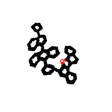 c1ccc(-c2ccc(-c3c4ccccc4c(-c4cccc(-c5cc6ccccc6c6c5oc5c7ccccc7ccc56)c4)c4ccccc34)c3ccccc23)cc1